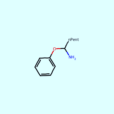 CCCCCC(N)Oc1ccccc1